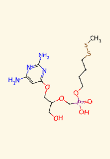 CSSCCCCOP(=O)(O)COC(CO)COc1cc(N)nc(N)n1